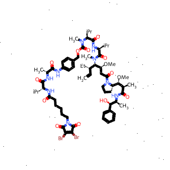 C=C[C@H](CC)[C@@H]([C@@H](CC(=O)N1CCC[C@H]1[C@H](OC)[C@@H](C)C(=O)N[C@@H](C)[C@H](O)c1ccccc1)OC)N(C)C(=O)[C@@H](NC(=O)[C@H](C(C)C)N(C)C(=O)OCc1ccc(NC(=O)[C@@H](C)NC(=O)[C@H](NC(=O)CCCCCN2C(=O)C(Br)=C(Br)C2=O)C(C)C)cc1)C(C)C